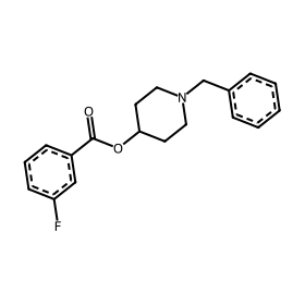 O=C(OC1CCN(Cc2ccccc2)CC1)c1cccc(F)c1